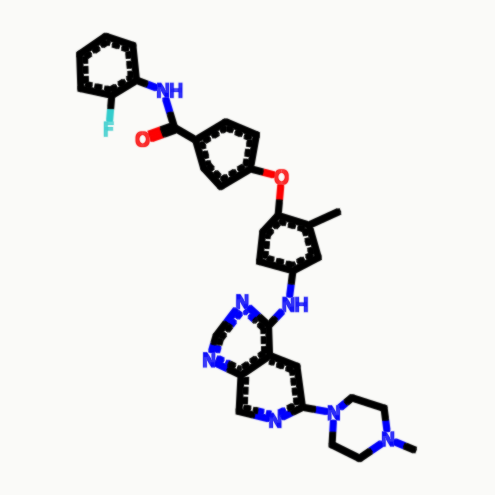 Cc1cc(Nc2ncnc3cnc(N4CCN(C)CC4)cc23)ccc1Oc1ccc(C(=O)Nc2ccccc2F)cc1